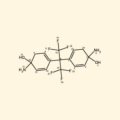 NC1(O)C=CC(C(C2=CCC(N)(O)C=C2)(C(F)(F)F)C(F)(F)F)=CC1